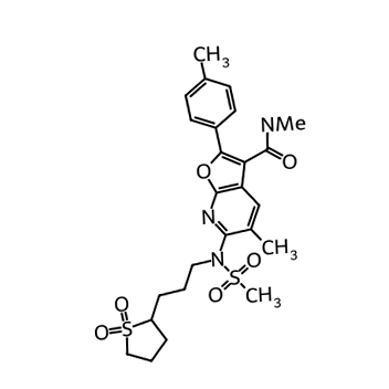 CNC(=O)c1c(-c2ccc(C)cc2)oc2nc(N(CCCC3CCCS3(=O)=O)S(C)(=O)=O)c(C)cc12